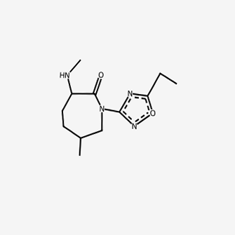 CCc1nc(N2CC(C)CCC(NC)C2=O)no1